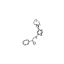 O=C(CSc1cc(=[N+]2CCOCC2)ss1)c1ccccc1